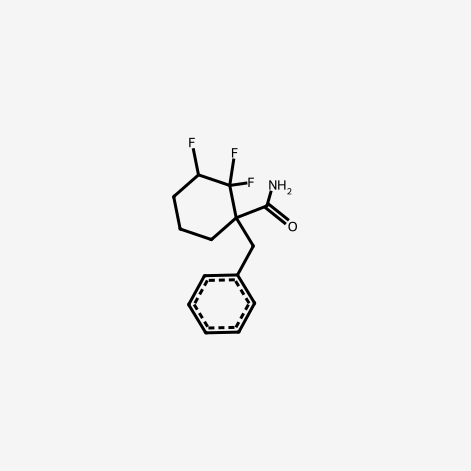 NC(=O)C1(Cc2ccccc2)CCCC(F)C1(F)F